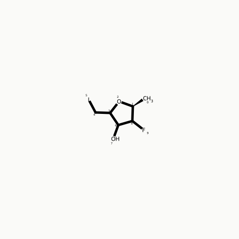 C[C@@H]1OC(CI)C(O)C1F